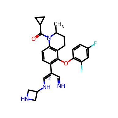 CC1CCc2c(ccc(/C(C=N)=C/NC3CNC3)c2Oc2ccc(F)cc2F)N1C(=O)C1CC1